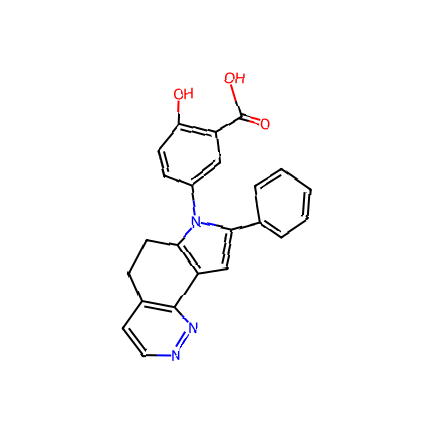 O=C(O)c1cc(-n2c(-c3ccccc3)cc3c2CCc2ccnnc2-3)ccc1O